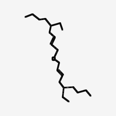 CCCCC(CC)CC=CCOCC=CCC(CC)CCCC